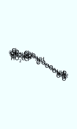 O=C(CCOCCOCCOCCOCCNC(=O)CCN1C(=O)C=CC1=O)NCCCOc1cc(Cl)c(C(=O)NC(Cc2ccc(NC(=O)c3c(Cl)cccc3Cl)cc2)C(=O)O)c(Cl)c1